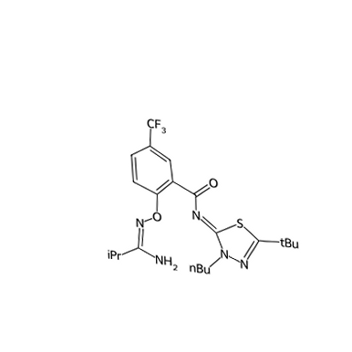 CCCCn1nc(C(C)(C)C)sc1=NC(=O)c1cc(C(F)(F)F)ccc1ON=C(N)C(C)C